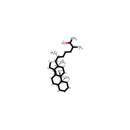 CC(O)C(C)CCC[C@@H](C)[C@H]1CCC2=C3CCC4CCCC[C@]4(C)[C@H]3CC[C@@]21C